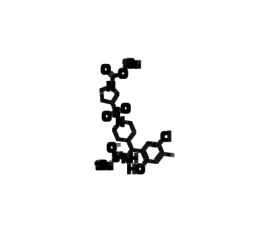 Cc1cc(O)c(C(N[S@@+]([O-])C(C)(C)C)C2CCN(S(=O)(=O)C3CCN(C(=O)OC(C)(C)C)C3)CC2)cc1Cl